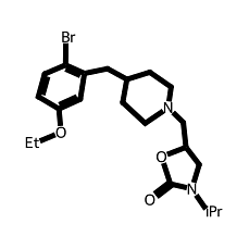 CCOc1ccc(Br)c(CC2CCN(CC3CN(C(C)C)C(=O)O3)CC2)c1